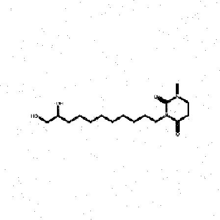 CN1CCC(=O)N(CCCCCCCCCC(O)CO)C1=O